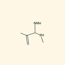 C=C(C)C(NC)PC